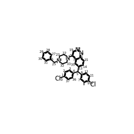 Clc1ccc(C(c2ccc(Cl)cc2)c2ccc3nncc(N4CCN(Cc5ccccc5)CC4)c3c2)cc1